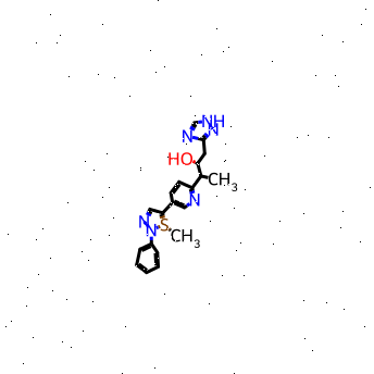 CC(c1ccc(C2=S(C)N(c3ccccc3)N=C2)cn1)C(O)Cc1nc[nH]n1